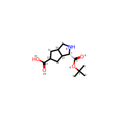 CC(C)(C)OC(=O)[C@H]1NCC2CC(C(=O)O)CC21